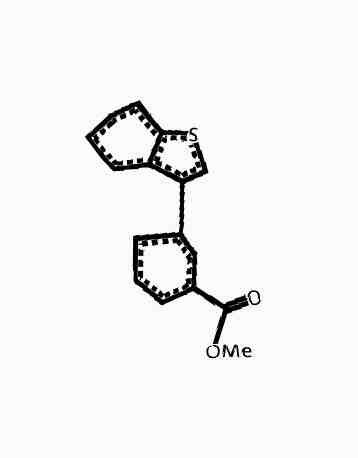 COC(=O)c1cccc(-c2csc3ccccc23)c1